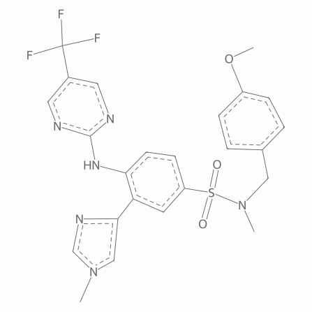 COc1ccc(CN(C)S(=O)(=O)c2ccc(Nc3ncc(C(F)(F)F)cn3)c(-c3cn(C)cn3)c2)cc1